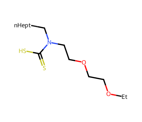 CCCCCCCCN(CCOCCOCC)C(=S)S